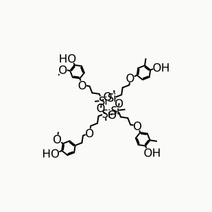 COc1cc(CCOCCC[Si]2(C)O[Si](C)(CCCOc3ccc(O)c(C)c3)O[Si](C)(CCCOc3ccc(O)c(C)c3)O[Si](C)(CCCOc3ccc(O)c(OC)c3)O2)ccc1O